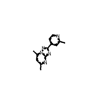 Cc1cc(-c2nc3nc(C)cc(C)n3n2)ccn1